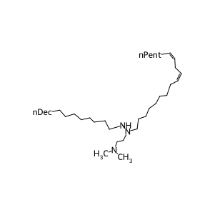 CCCCC/C=C\C/C=C\CCCCCCCCN(CCN(C)C)NCCCCCCCCCCCCCCCCCC